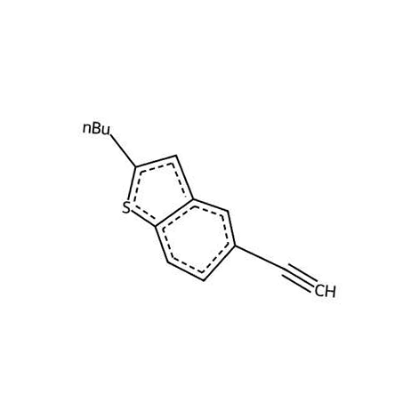 C#Cc1ccc2sc(CCCC)cc2c1